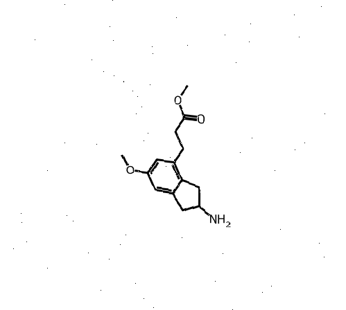 COC(=O)CCc1cc(OC)cc2c1CC(N)C2